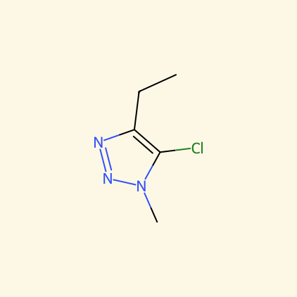 CCc1nnn(C)c1Cl